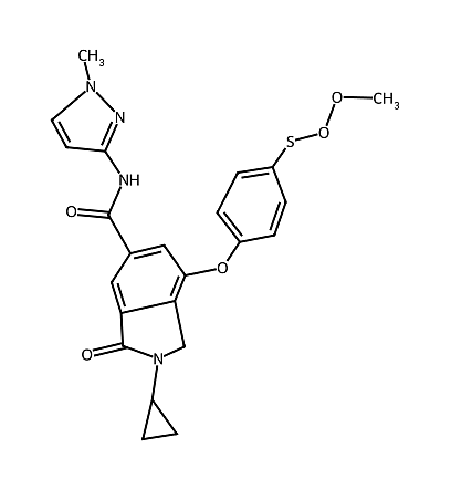 COOSc1ccc(Oc2cc(C(=O)Nc3ccn(C)n3)cc3c2CN(C2CC2)C3=O)cc1